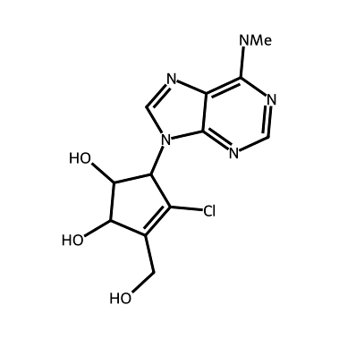 CNc1ncnc2c1ncn2C1C(Cl)=C(CO)C(O)C1O